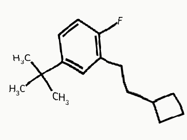 CC(C)(C)c1ccc(F)c(CCC2CCC2)c1